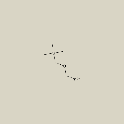 [CH2]CCCOC[Si](C)(C)C